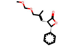 COCOC/C(C)=C/[C@@H]1C(=O)O[C@@H]1c1ccccc1